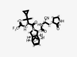 CC(C)(C1CC1)[C@H](NC(=O)C(F)(F)F)C(=O)N1C[C@H]2[C@@H]([C@H]1C(=O)N[C@H](C#N)C[C@@H]1CCNC1=O)[C@H]1C=C[C@@H]2C1